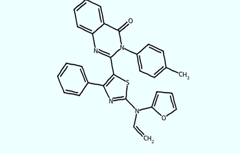 C=CN(c1ccco1)c1nc(-c2ccccc2)c(-c2nc3ccccc3c(=O)n2-c2ccc(C)cc2)s1